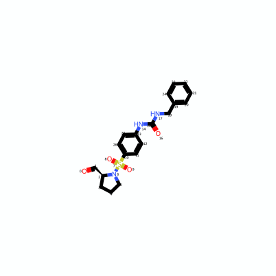 O=[C][C@@H]1CCCN1S(=O)(=O)c1ccc(NC(=O)NCc2ccccc2)cc1